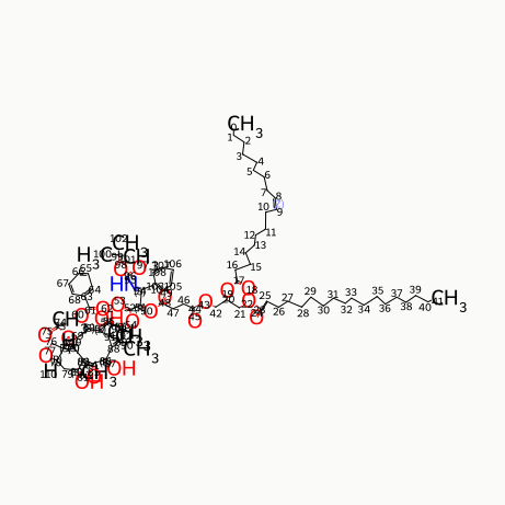 CCCCCCCC/C=C\CCCCCCCC(=O)OC(COC(=O)CCCCCCCCCCCCCCCCC)COC(=O)CCC(=O)O[C@@H](C(=O)O[C@H]1C[C@@]2(O)[C@@H](OC(=O)c3ccccc3)C[C@@H]3[C@]4(OC(C)=O)CO[C@@H]4C[C@H](O)[C@@]3(C)C(=O)[C@H](O)C(=C1C)C2(C)C)[C@@H](NC(=O)OC(C)(C)C)c1ccccc1